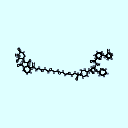 O=C1CCC(N2C(=O)c3cccc(NCCOCCOCCOCCOCCC(=O)N4CCC(c5cc(NC(=O)c6cccc(-c7ccn[nH]7)n6)n(-c6ccccn6)n5)CC4)c3C2=O)C(=O)N1